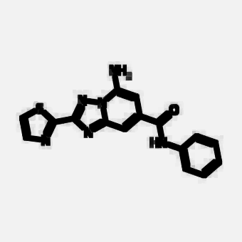 Nc1cc(C(=O)Nc2ccccc2)cc2nc(-c3nccs3)nn12